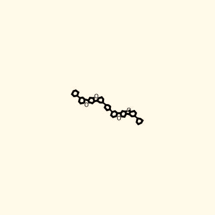 c1ccc(-c2ccc3oc4cc5c(cc4c3c2)oc2ccc(-c3ccc(-c4ccc6oc7cc8c(cc7c6c4)oc4ccc(-c6ccccc6)cc48)cc3)cc25)cc1